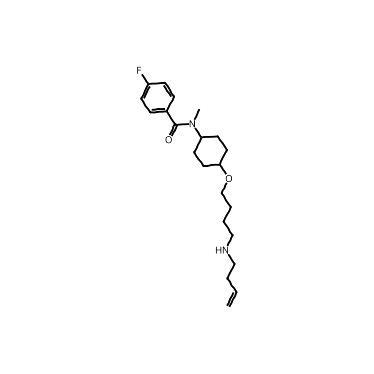 C=CCCNCCCCOC1CCC(N(C)C(=O)c2ccc(F)cc2)CC1